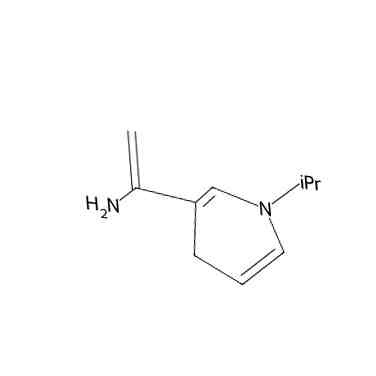 C=C(N)C1=CN(C(C)C)C=CC1